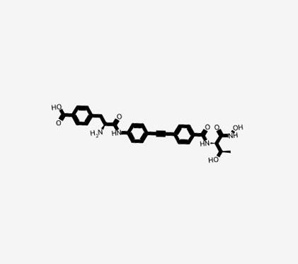 C[C@@H](O)[C@H](NC(=O)c1ccc(C#Cc2ccc(NC(=O)[C@@H](N)Cc3ccc(C(=O)O)cc3)cc2)cc1)C(=O)NO